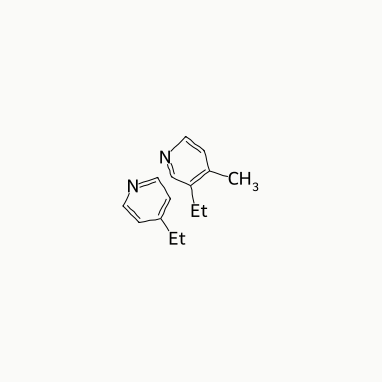 CCc1ccncc1.CCc1cnccc1C